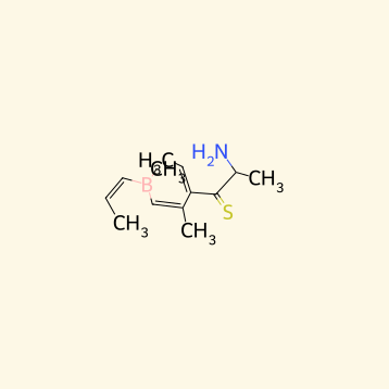 C/C=C\B(C)/C=C(C)\C(=C/C)C(=S)C(C)N